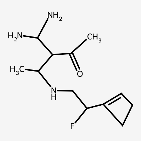 CC(=O)C(C(N)N)C(C)NCC(F)C1=CCC1